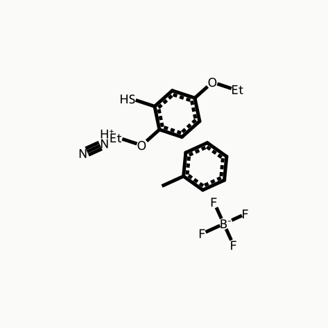 CCOc1ccc(OCC)c(S)c1.Cc1ccccc1.F[B-](F)(F)F.N#[NH+]